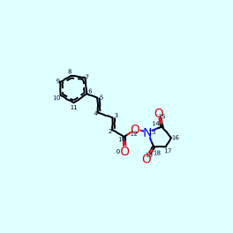 O=C(/C=C/C=C/c1ccccc1)ON1C(=O)CCC1=O